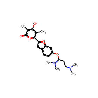 Cc1c(-c2cc3ccc(OC(CCN(C)C)N(C)C)cc3o2)oc(=O)c(C)c1O